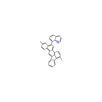 Cc1ccc2c(c1)c(-c1cccc3cccnc13)cc1c3ccc(C)c4c3c(cc21)-c1ccccc1-4